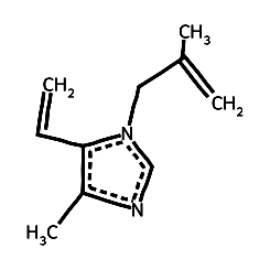 C=Cc1c(C)ncn1CC(=C)C